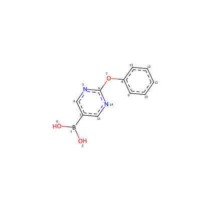 OB(O)c1cnc(Oc2ccccc2)nc1